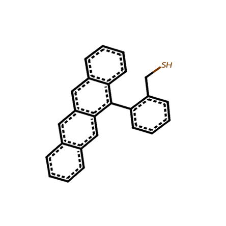 SCc1ccccc1-c1c2ccccc2cc2cc3ccccc3cc12